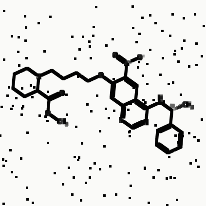 COC(=O)C1CCCCN1CCCCOc1cc2ncnc(N[C@H](C)c3ccccc3)c2cc1[N+](=O)[O-]